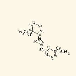 COc1cccc(OC2CN(C3CCCCC3OC)C2)c1